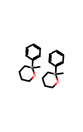 C[Si]1(c2ccccc2)CCCCO1.C[Si]1(c2ccccc2)CCCCO1